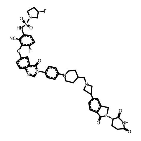 N#Cc1c(NS(=O)(=O)N2CC[C@@H](F)C2)ccc(F)c1Oc1ccc2ncn(-c3ccc(N4CCC(CN5CC(c6ccc7c(c6)CN([C@@H]6CCC(=O)NC6=O)C7=O)C5)CC4)cc3)c(=O)c2c1